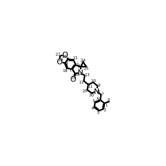 Cc1ccccc1CN1CCC(CCN2C(=O)c3cc4c(cc3C23CC3)OCO4)CC1